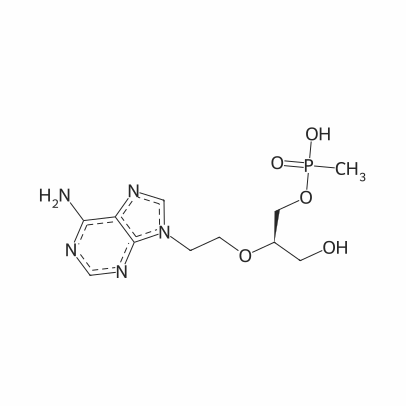 CP(=O)(O)OC[C@@H](CO)OCCn1cnc2c(N)ncnc21